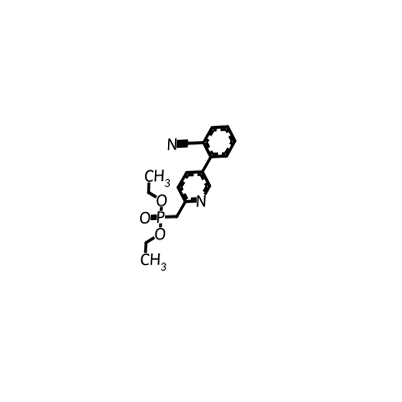 CCOP(=O)(Cc1ccc(-c2ccccc2C#N)cn1)OCC